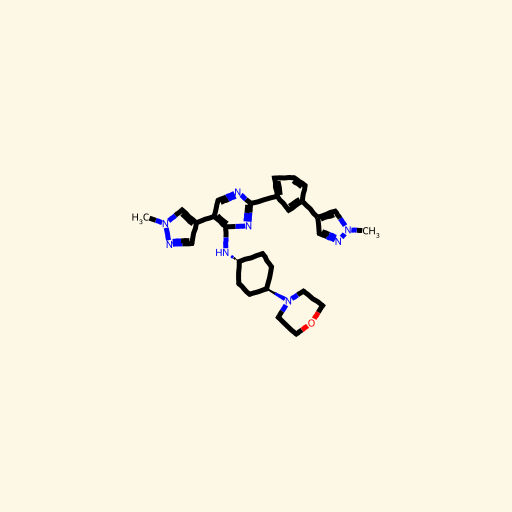 Cn1cc(-c2cccc(-c3ncc(-c4cnn(C)c4)c(N[C@H]4CC[C@H](N5CCOCC5)CC4)n3)c2)cn1